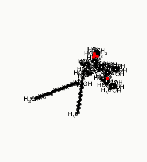 CCCCCCCCCCCCC/C=C/[C@@H](O)[C@H](CO[C@@H]1OC(CO)[C@@H](O[C@@H]2OC(CO)[C@H](O)[C@H](O[C@@H]3OC(CO)[C@@H](O[C@@H]4OC(CO)[C@H](O)[C@H](O[C@@H]5OC(CO)[C@@H](O[C@@H]6OC(CO)[C@H](O)[C@H](O)C6O[C@H]6OC(C)[C@@H](O)C(O)[C@@H]6O)[C@H](O[C@H]6OC(C)[C@@H](O)C(O)[C@@H]6O)C5NC(C)=O)C4O)[C@H](O[C@H]4OC(C)[C@@H](O)C(O)[C@@H]4O)C3NC(C)=O)C2O)[C@H](O)C1O)NC(=O)CCCCCCCCCCCCCCCCCCCCCCC